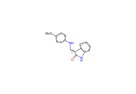 CSc1ccc(N/C=C2/C(=O)Nc3ccccc32)cc1